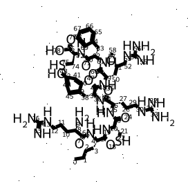 CCCC[C@H](NC(=O)[C@@H](N)CCCNC(=N)N)C(=O)N[C@@H](CS)C(=O)N[C@@H](CCCNC(=N)N)C(=O)N[C@H](Cc1ccc(O)cc1)C(=O)N[C@@H](CC(CNC(=N)N)OC)C(=O)N[C@@H](Cc1ccccc1)C(=O)N[C@@H](CS)C(=O)O